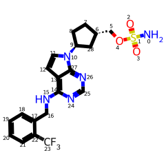 NS(=O)(=O)OC[C@H]1CC[C@H](n2ccc3c(NCc4ccccc4C(F)(F)F)ncnc32)C1